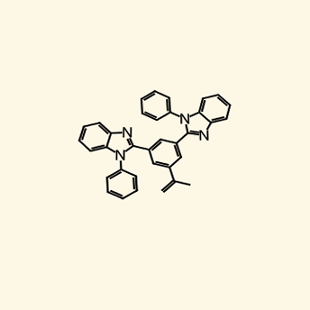 C=C(C)c1cc(-c2nc3ccccc3n2-c2ccccc2)cc(-c2nc3ccccc3n2-c2ccccc2)c1